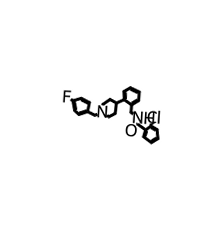 O=C(NCc1ccccc1C1CCN(Cc2ccc(F)cc2)CC1)c1ccccc1Cl